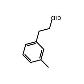 Cc1cccc(CCC=O)c1